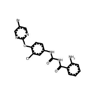 Nc1ccccc1C(=O)NC(=O)Nc1ccc(Oc2ncc(Br)cn2)c(Cl)c1